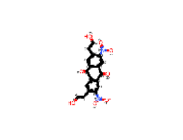 O=C1c2cc(CCO)c([N+](=O)[O-])cc2C(=O)c2cc([N+](=O)[O-])c(CCO)cc21